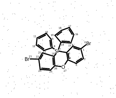 Brc1ccc2c(c1)[Si](c1ccccc1)(c1ccccc1)c1cc(Br)ccc1O2